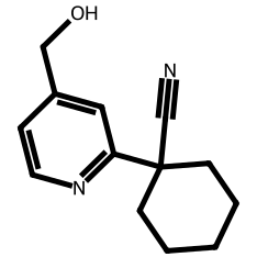 N#CC1(c2cc(CO)ccn2)CCCCC1